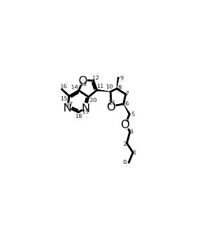 CCCCOC[C@@H]1C[C@H](C)[C@H](c2coc3c(C)ncnc23)O1